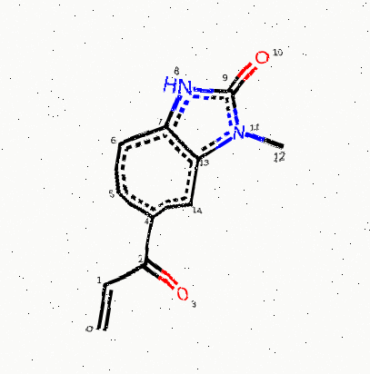 C=CC(=O)c1ccc2[nH]c(=O)n(C)c2c1